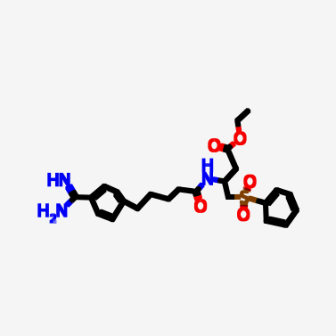 CCOC(=O)CC(CS(=O)(=O)c1ccccc1)NC(=O)CCCCc1ccc(C(=N)N)cc1